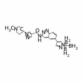 BC(B)(B)n1cc(-c2ccc3nnc(NC(=O)c4cnn(C5CCN(C)CC5)c4)cc3c2)cn1